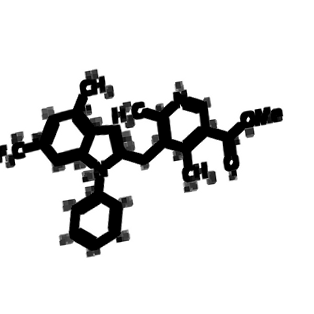 COC(=O)c1cnc(C)c(Cc2cc3c(C)cc(C(F)(F)F)cc3n2-c2ccccc2)c1C